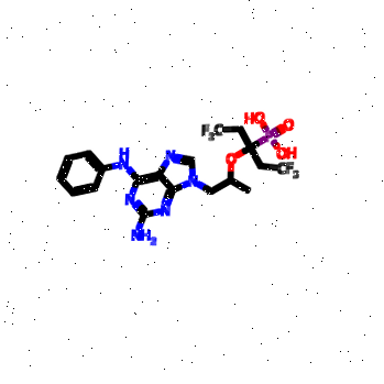 CC(Cn1cnc2c(Nc3ccccc3)nc(N)nc21)OC(CC(F)(F)F)(CC(F)(F)F)P(=O)(O)O